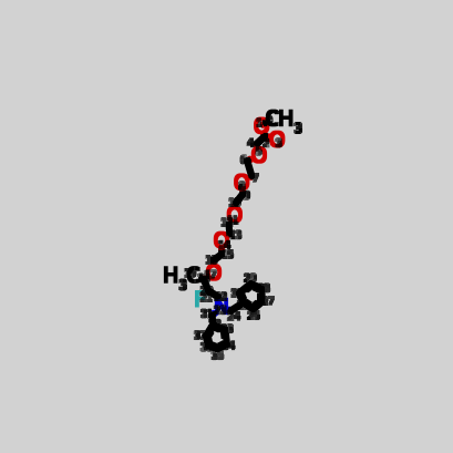 COC(=O)COCCOCCOCCOCCOC(C)C(F)CN(Cc1ccccc1)Cc1ccccc1